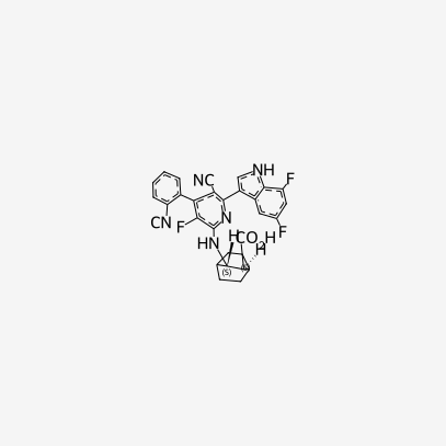 N#Cc1ccccc1-c1c(F)c(N[C@H]2C3CCC(CC3)[C@@H]2C(=O)O)nc(-c2c[nH]c3c(F)cc(F)cc23)c1C#N